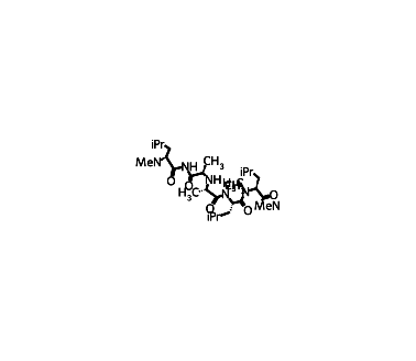 CNC(=O)[C@H](CC(C)C)N(C)C(=O)[C@H](CC(C)C)N(C)C(=O)[C@H](C)N[C@H](C)C(=O)NC(=O)[C@H](CC(C)C)NC